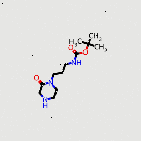 CC(C)(C)OC(=O)NCCCN1CCNCC1=O